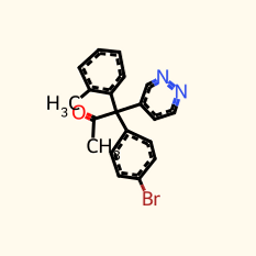 CC(=O)C(c1ccc(Br)cc1)(c1ccnnc1)c1ccccc1C